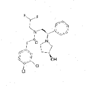 O=C(Cc1ccc(Cl)c(Cl)c1)N(CC(F)F)C[C@@H](c1ccccc1)N1CC[C@H](O)C1